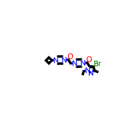 CCn1nc(C)c(Br)c1C(=O)N1CCN(CC(=O)N2CCN(C3CCC3)CC2)CC1